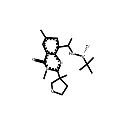 Cc1cc(C(C)N[S@+]([O-])C(C)(C)C)c2nc(C3(C)CCOC3)n(C)c(=O)c2c1